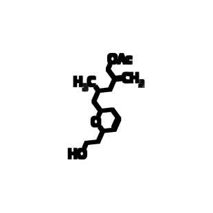 C=C(COC(C)=O)CC(C)CC1CC=CC(CCO)O1